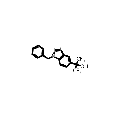 OC(c1ccc2c(c1)I=IN2Cc1ccccc1)(C(F)(F)F)C(F)(F)F